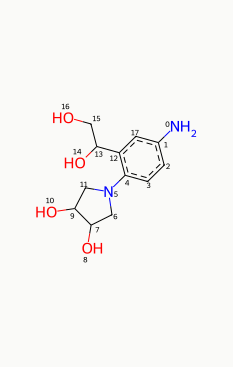 Nc1ccc(N2CC(O)C(O)C2)c(C(O)CO)c1